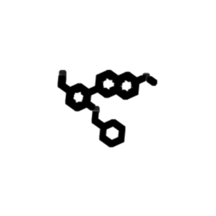 COc1ccc2cc(-c3cc(C=O)ccc3OCC3CCCCC3)ccc2c1